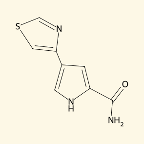 NC(=O)c1cc(-c2cscn2)c[nH]1